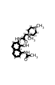 CC(=O)Nc1cccc2ccc(NC(=O)C[N+]3(C)CCN(C)CC3)c(O)c12